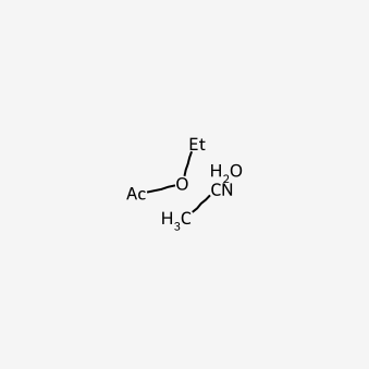 CC#N.CCOC(C)=O.O